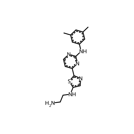 Cc1cc(C)cc(Nc2nccc(-c3ncc(NCCN)s3)n2)c1